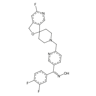 O/N=C(\c1ccc(CN2CCC3(CC2)OCc2cc(F)ncc23)nc1)c1ccc(F)c(F)c1